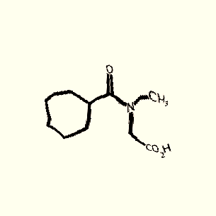 CN(CC(=O)O)C(=O)C1CCCCC1